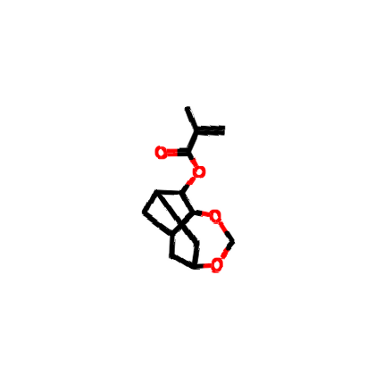 C=C(C)C(=O)OC1C2CC3CC(C2)C1OCO3